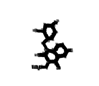 CCOC(=O)Cn1c(=O)c2cc(Cl)ccc2n(Cc2ccc(Br)cc2F)c1=O